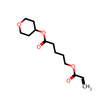 C=CC(=O)OCCCCC(=O)OC1CCOCC1